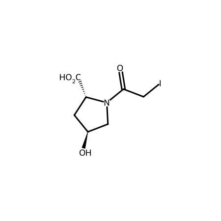 O=C(O)[C@H]1C[C@H](O)CN1C(=O)CI